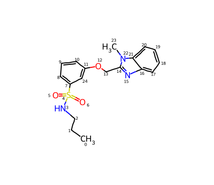 CCCNS(=O)(=O)c1cccc(OCc2nc3ccccc3n2C)c1